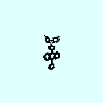 Cc1ccc2c(c1)c1cc(C)ccc1n2-c1ccc(-c2c3ccccc3c(-c3ccccc3)c3ccccc23)cc1